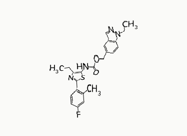 CCc1nc(-c2ccc(F)cc2C)sc1NC(=O)OCc1ccc2c(cnn2CC)c1